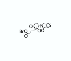 O=C(CCCN1C(=O)CCC(N2Cc3cscc3C2=O)C1=O)OBr